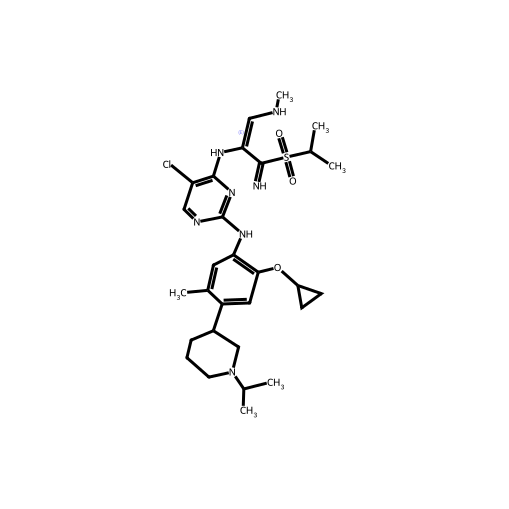 CN/C=C(/Nc1nc(Nc2cc(C)c(C3CCCN(C(C)C)C3)cc2OC2CC2)ncc1Cl)C(=N)S(=O)(=O)C(C)C